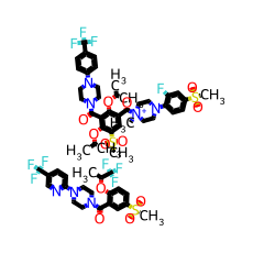 CC(C)Oc1c(C(=O)[N+]2(C)CCN(c3ccc(S(C)(=O)=O)cc3F)CC2)cc(S(C)(=O)=O)c(OC(C)C)c1C(=O)N1CCN(c2ccc(C(F)(F)F)cc2)CC1.CC(Oc1ccc(S(C)(=O)=O)cc1C(=O)N1CCN(c2ccc(C(F)(F)F)cn2)CC1)C(F)(F)F